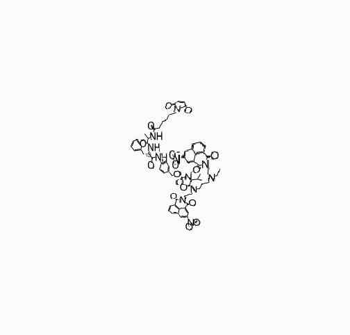 CCN(CCCN(CCN1C(=O)c2cccc3cc([N+](=O)[O-])cc(c23)C1=O)C(=O)C(C(C)C)N(C)C(=O)OCc1ccc(NC(=O)[C@H](Cc2ccccc2)NC(=O)C(C)NC(=O)CCCCCN2C(=O)C=CC2=O)cc1)CCN1C(=O)c2cccc3cc([N+](=O)[O-])cc(c23)C1=O